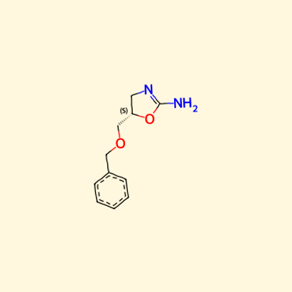 NC1=NC[C@@H](COCc2ccccc2)O1